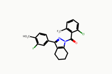 O=C(O)c1ccc(-c2nn(C(=O)c3c(Cl)cccc3C(F)(F)F)c3c2CCCC3)cc1F